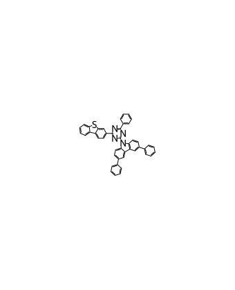 c1ccc(-c2ccc3c(c2)c2cc(-c4ccccc4)ccc2n3-c2nc(-c3ccccc3)nc(-c3ccc4c(c3)sc3ccccc34)n2)cc1